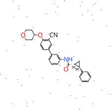 N#Cc1cc(-c2cccc(NC(=O)[C@@H]3C[C@H]3c3ccccc3)c2)ccc1OC1CCOCC1